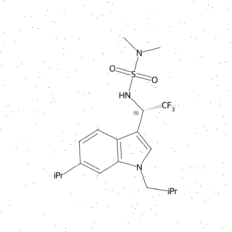 CC(C)Cn1cc([C@H](NS(=O)(=O)N(C)C)C(F)(F)F)c2ccc(C(C)C)cc21